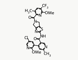 COc1ncc(Cl)cc1-c1cc(C)ncc1C(=O)Nc1nc2c(s1)CN(C(=O)c1nc(OC)c(C(F)(F)F)cc1C)C2